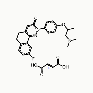 CC(CN(C)C)Oc1ccc(-n2nc3c(cc2=O)CCc2ccc(F)cc2-3)cc1.O=C(O)/C=C/C(=O)O